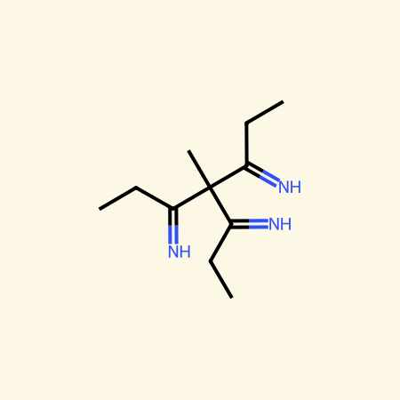 CCC(=N)C(C)(C(=N)CC)C(=N)CC